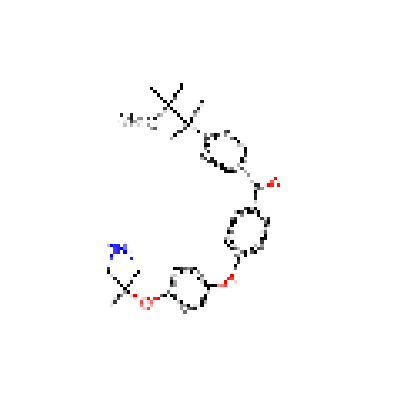 COC(C)(C)C(C)(C)c1ccc(C(=O)c2ccc(Oc3ccc(OC(C)(C)CN)cc3)cc2)cc1